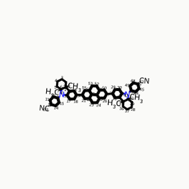 CC12CCCCC1(C)N(c1ccc(C#N)cc1)c1ccc(-c3cc4ccc5cc(-c6ccc7c(c6)C6(C)CCCCC6(C)N7c6ccc(C#N)cc6)cc6ccc(c3)c4c56)cc12